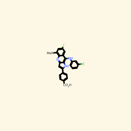 CNc1cc(F)cc2c(Nc3cccc(Cl)c3)c3[nH]c(-c4ccc(C(=O)O)cc4)cc3nc12